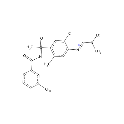 CCN(C)/C=N/c1cc(C)c(S(C)(=O)=NC(=O)c2cccc(C(F)(F)F)c2)cc1Cl